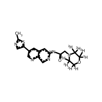 [2H]C1([2H])OC([2H])([2H])C([2H])([2H])N(CC(=O)Nc2cc3cc(-c4cnc(C)s4)cnc3cn2)C1([2H])[2H]